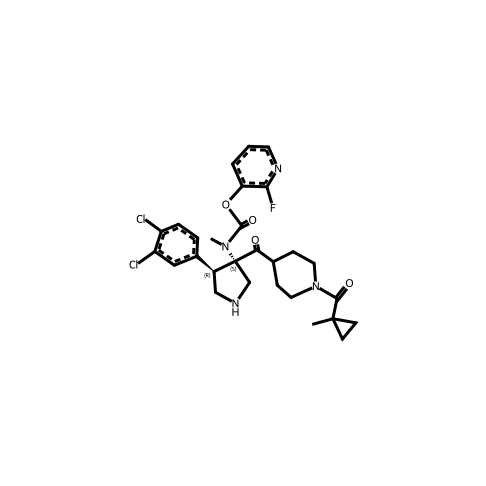 CN(C(=O)Oc1cccnc1F)[C@]1(C(=O)C2CCN(C(=O)C3(C)CC3)CC2)CNC[C@H]1c1ccc(Cl)c(Cl)c1